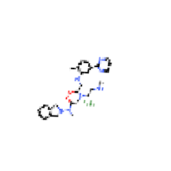 CCNCCN(CC(=O)N(C)N1Cc2ccccc2C1)C(=O)CNc1cc(-c2ncccn2)ccc1C.Cl.Cl